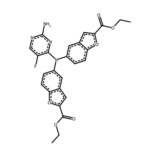 CCOC(=O)c1cc2cc(N(c3ccc4oc(C(=O)OCC)cc4c3)c3nc(N)ncc3F)ccc2o1